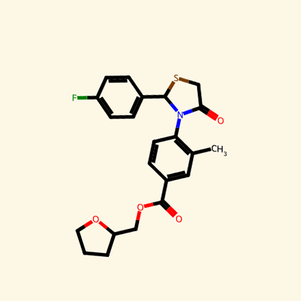 Cc1cc(C(=O)OCC2CCCO2)ccc1N1C(=O)CSC1c1ccc(F)cc1